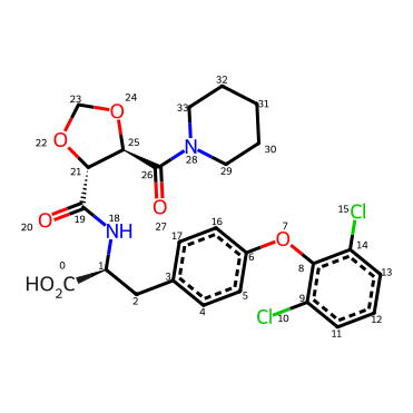 O=C(O)[C@H](Cc1ccc(Oc2c(Cl)cccc2Cl)cc1)NC(=O)[C@@H]1OCO[C@H]1C(=O)N1CCCCC1